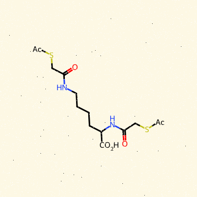 CC(=O)SCC(=O)NCCCCC(NC(=O)CSC(C)=O)C(=O)O